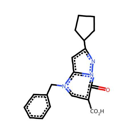 O=C(O)c1cn(Cc2ccccc2)c2cc(C3CCCC3)nn2c1=O